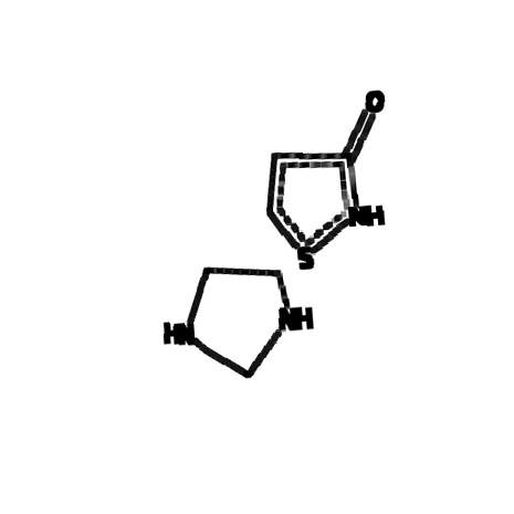 C1CNCN1.O=c1ccs[nH]1